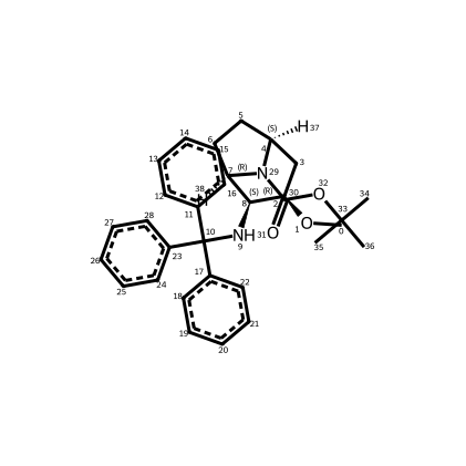 CO[C@@H]1C[C@@H]2CC[C@H]([C@@H]1NC(c1ccccc1)(c1ccccc1)c1ccccc1)N2C(=O)OC(C)(C)C